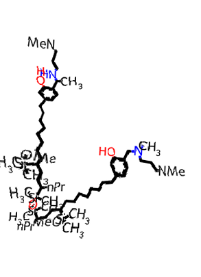 CCCC(CCC(CCCCCCCCc1ccc(CN(C)CCCNC)c(O)c1)[Si](C)(C)OC)[Si](C)(C)O[Si](C)(C)C(CCC)CCC(CCCCCCCCc1ccc(C(C)NCCCNC)c(O)c1)[Si](C)(C)OC